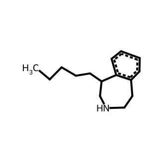 CCCCCC1CNCCc2ccccc21